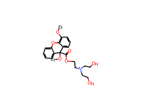 CCOc1cccc2c1Oc1ccccc1C2(OCC)C(=O)OCCN(CCO)CCO